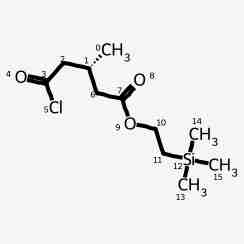 C[C@@H](CC(=O)Cl)CC(=O)OCC[Si](C)(C)C